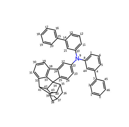 c1ccc(-c2cccc(N(c3cccc(-c4ccccc4)c3)c3ccc4c(c3)-c3cccc5c3C43C4CC6CC(C4)C5C3C6)c2)cc1